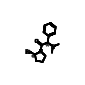 CC[C@@H]1CCCN1C(=O)[C@@H](c1ccccc1)N(C)C